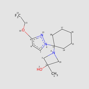 CC1(O)CN(C2(n3ccc(OCC(F)(F)F)n3)CCCCC2)C1